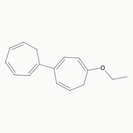 CCOC1=CC=C(C2=CC=CC=CC2)C=CC1